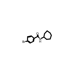 O=C(NC1CCCCCC1)c1ccc(Br)cc1